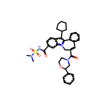 CN(C)S(=O)(=O)NC(=O)c1ccc2c(C3CCCCC3)c3n(c2c1)CC(C(=O)N1CCOC(c2ccccc2)C1)=Cc1ccccc1-3